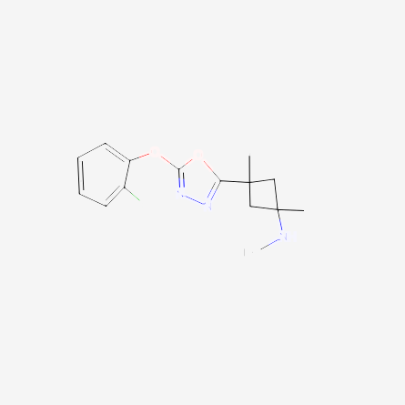 CNC1(C)CC(C)(c2nnc(Oc3ccccc3Cl)o2)C1